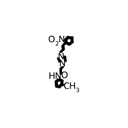 Cc1cccc(NC(=O)CCN2CCN(CC=Cc3ccccc3[N+](=O)[O-])CC2)c1